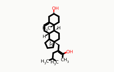 CC(O)=C(CC(C)C)C[C@@]12CCC[C@H]1[C@@H]1CC=C3C[C@@H](O)CC[C@]3(C)[C@H]1CC2